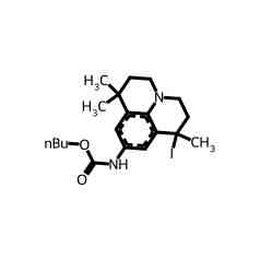 CCCCOC(=O)Nc1cc2c3c(c1)C(C)(I)CCN3CCC2(C)C